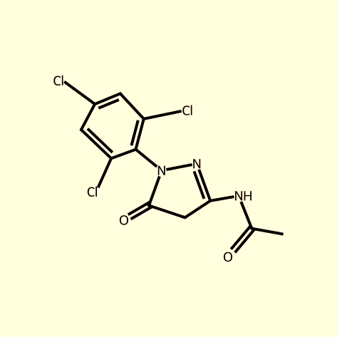 CC(=O)NC1=NN(c2c(Cl)cc(Cl)cc2Cl)C(=O)C1